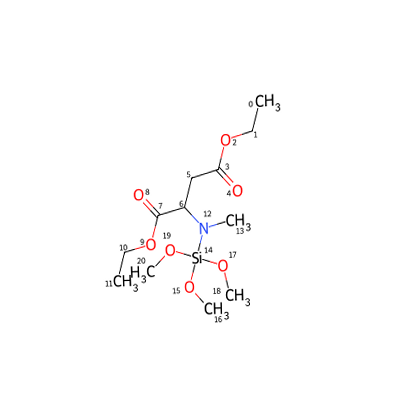 CCOC(=O)CC(C(=O)OCC)N(C)[Si](OC)(OC)OC